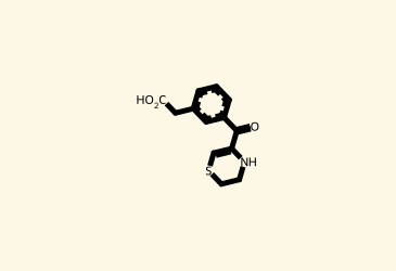 O=C(O)Cc1cccc(C(=O)C2=CSCCN2)c1